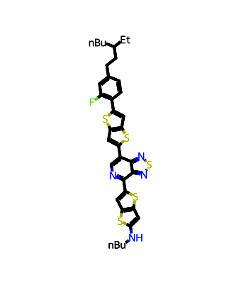 CCCCNc1cc2sc(-c3ncc(-c4cc5sc(-c6ccc(CCC(CC)CCCC)cc6F)cc5s4)c4nsnc34)cc2s1